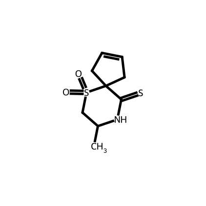 CC1CS(=O)(=O)C2(CC=CC2)C(=S)N1